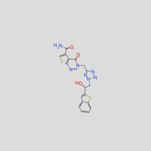 NC(=O)c1csc2ncn(Cc3nnn(C[C@H](O)c4cc5ccccc5s4)n3)c(=O)c12